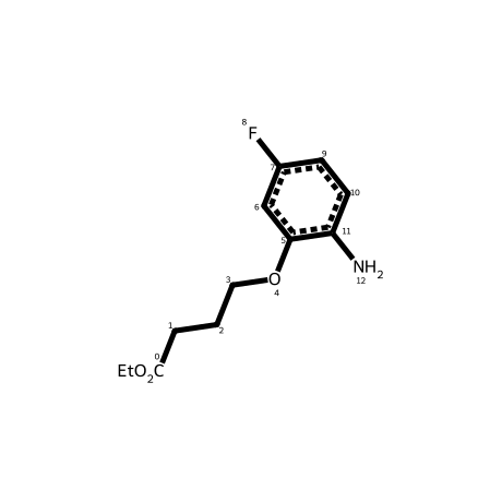 CCOC(=O)CCCOc1cc(F)ccc1N